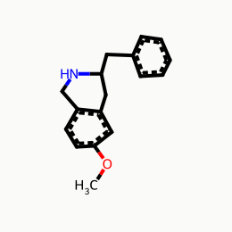 COc1ccc2c(c1)CC(Cc1ccccc1)NC2